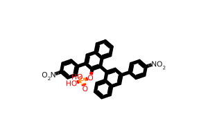 O=[N+]([O-])c1ccc(-c2cc(-c3c(OP(=O)(O)O)c(-c4ccc([N+](=O)[O-])cc4)cc4ccccc34)c3ccccc3c2)cc1